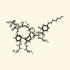 CCCCCCCc1ccc(C(=O)N[C@@H](CCN)C(=O)N(C)[C@@H]2C(=O)N[C@@H](C)C(=O)N[C@H](C(=O)NS(=O)(=O)O)Cc3ccc(OCCN)c(c3)-c3cc2ccc3OCCN)c(C)c1